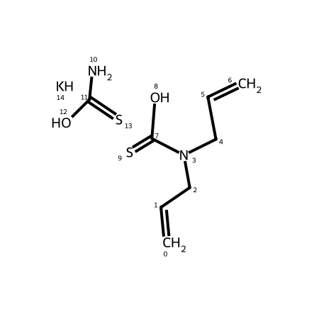 C=CCN(CC=C)C(O)=S.NC(O)=S.[KH]